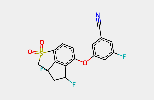 N#Cc1cc(F)cc(Oc2ccc3c4c2C(F)CC4(F)CS3(=O)=O)c1